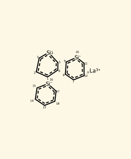 [La+3].c1cc[si-]cc1.c1cc[si-]cc1.c1cc[si-]cc1